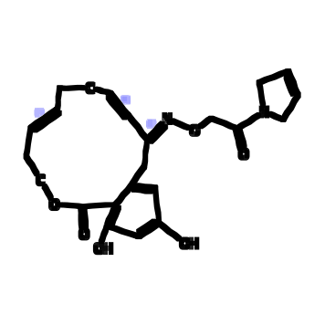 O=C1OCC/C=C/CC/C=C/C(=N/OCC(=O)N2CC=CC2)Cc2cc(O)cc(O)c21